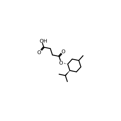 CC1CC[C@@H](C(C)C)[C@H](OC(=O)CCC(=O)O)C1